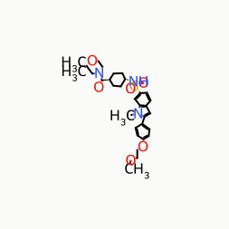 COCCOc1ccc(-c2cc3ccc(S(=O)(=O)N[C@H]4CC[C@H](C(=O)N5CCOC(C)(C)C5)CC4)cc3n2C)cc1